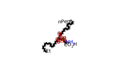 CC/C=C\C/C=C\C/C=C\C/C=C\C/C=C\CCCC(=O)O[C@H](COC(=O)CCC/C=C\C/C=C\C/C=C\C/C=C\CCCCC)COP(=O)(O)OC[C@H](N)C(=O)O